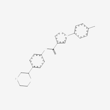 O=C(Nc1ccc(C2CNCCO2)cc1)c1cnn(-c2ccc(F)cc2)c1